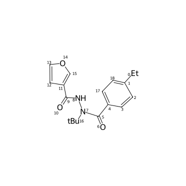 CCc1ccc(C(=O)N(NC(=O)c2ccoc2)C(C)(C)C)cc1